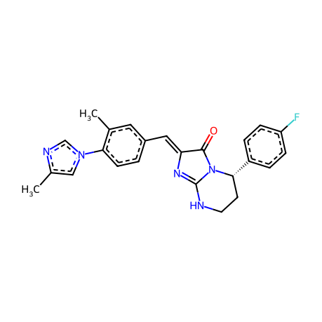 Cc1cn(-c2ccc(/C=C3\N=C4NCC[C@@H](c5ccc(F)cc5)N4C3=O)cc2C)cn1